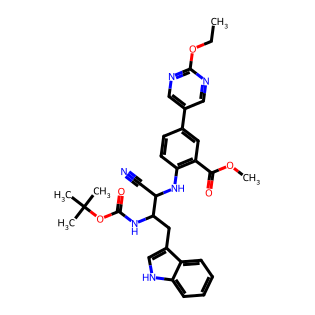 CCOc1ncc(-c2ccc(NC(C#N)C(Cc3c[nH]c4ccccc34)NC(=O)OC(C)(C)C)c(C(=O)OC)c2)cn1